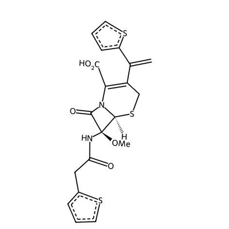 C=C(C1=C(C(=O)O)N2C(=O)[C@](NC(=O)Cc3cccs3)(OC)[C@@H]2SC1)c1cccs1